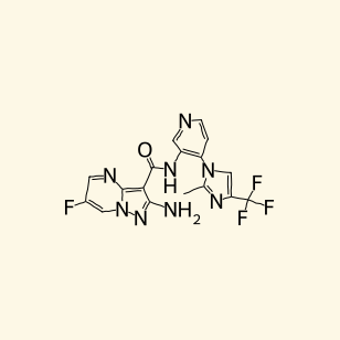 Cc1nc(C(F)(F)F)cn1-c1ccncc1NC(=O)c1c(N)nn2cc(F)cnc12